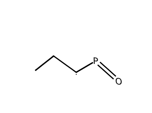 CC[CH]P=O